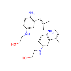 C/C=C(/C)c1cc(NCCO)ccc1N.CC(C)=Cc1cc(NCCO)ccc1N